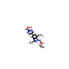 CC(=O)c1nn(CC(=O)OC(C)(C)C)c2c(C)cc(-c3cnc(CO)nc3)cc12